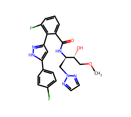 COC[C@@H](O)[C@@H](Cn1nccn1)NC(=O)c1cccc(F)c1-c1cc(-c2ccc(F)cc2)[nH]n1